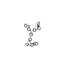 CC1(C)c2ccccc2-c2ccc(N(c3ccc(-c4ccc(-n5c6ccccc6c6ccc7c8ccccc8oc7c65)cc4)cc3)c3ccc(-c4cccc5c4oc4ccccc45)cc3)cc21